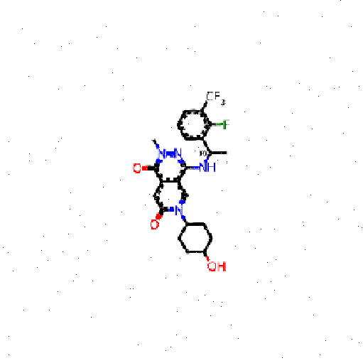 C[C@@H](Nc1nn(C)c(=O)c2cc(=O)n(C3CCC(O)CC3)cc12)c1cccc(C(F)(F)F)c1F